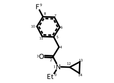 CCN(C(=O)Cc1ccc(F)cc1)C1CC1